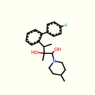 CC1CCN(C(O)C(C)(O)C(C)c2ccccc2-c2ccc(F)cc2)CC1